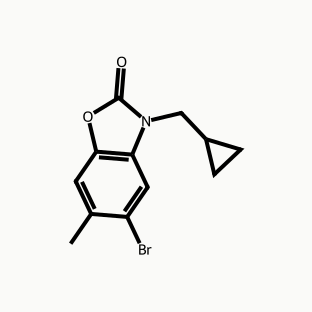 Cc1cc2oc(=O)n(CC3CC3)c2cc1Br